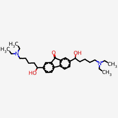 CCN(CC)CCCCC(O)c1ccc2c(c1)C(=O)c1cc(C(O)CCCCN(CC)CC)ccc1-2